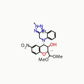 CCc1ccccc1N(Cc1nnn(C)n1)[C@H]1c2cc([N+](=O)[O-])ccc2O[C@](C)(C(OC)OC)[C@@H]1O